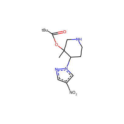 CC(C)(C)C(=O)OC1(C)CNCCC1n1cc([N+](=O)[O-])cn1